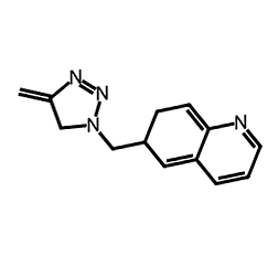 C=C1CN(CC2C=c3cccnc3=CC2)N=N1